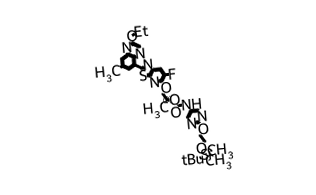 CCOc1cnc2c(-c3nc4cc(F)c(OC[C@@H](C)OC(=O)Nc5cnc(OCCO[Si](C)(C)C(C)(C)C)nc5)nc4s3)cc(C)cc2n1